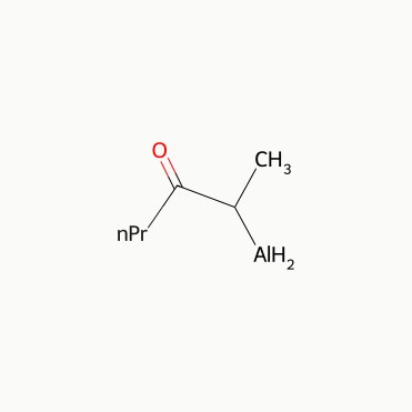 CCCC(=O)[CH](C)[AlH2]